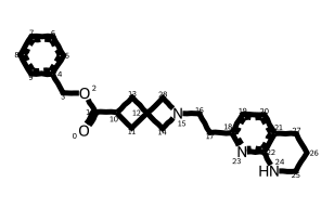 O=C(OCc1ccccc1)C1CC2(C1)CN(CCc1ccc3c(n1)NCCC3)C2